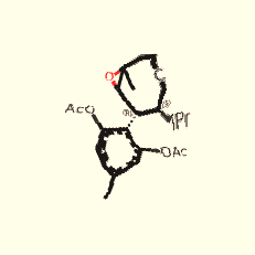 CC(=O)Oc1cc(C)cc(OC(C)=O)c1[C@@H]1C2OC2(C)CC[C@H]1C(C)C